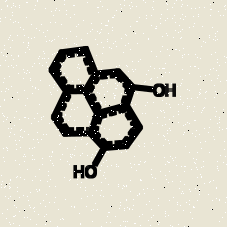 Oc1ccc2c(O)cc3cccc4ccc1c2c43